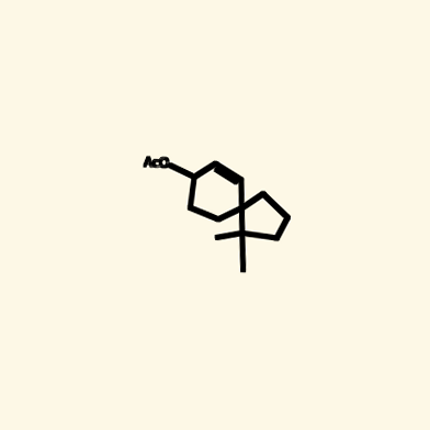 CC(=O)OC1C=CC2(CCCC2(C)C)CC1